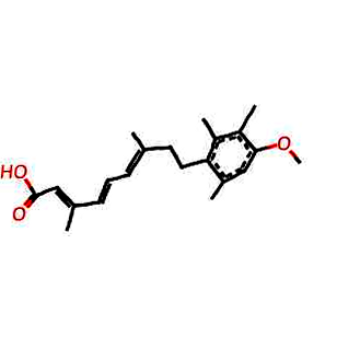 COc1cc(C)c(CCC(C)=CC=CC(C)=CC(=O)O)c(C)c1C